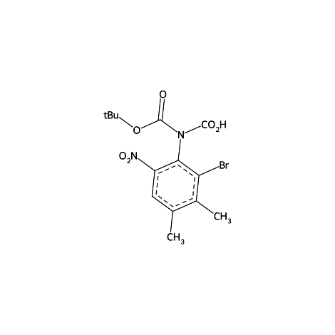 Cc1cc([N+](=O)[O-])c(N(C(=O)O)C(=O)OC(C)(C)C)c(Br)c1C